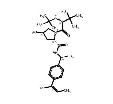 C/C=C(/S)c1ccc([C@H](C)NC(=O)[C@@H]2C[C@@H](O)CN2C(=O)[C@@H](NC(C)(C)C)C(C)(C)C)cc1